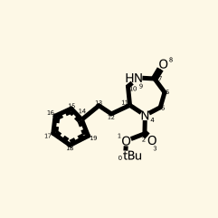 CC(C)(C)OC(=O)N1CCC(=O)NCC1CCc1ccccc1